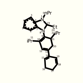 CCCN1c2ccccc2N(C2=C(C(C)C)C=C(C3=CCCC=C3)CC2C(C)C)C1CC